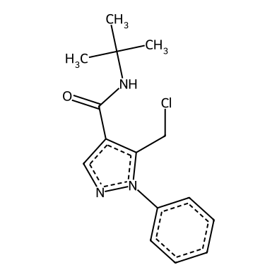 CC(C)(C)NC(=O)c1cnn(-c2ccccc2)c1CCl